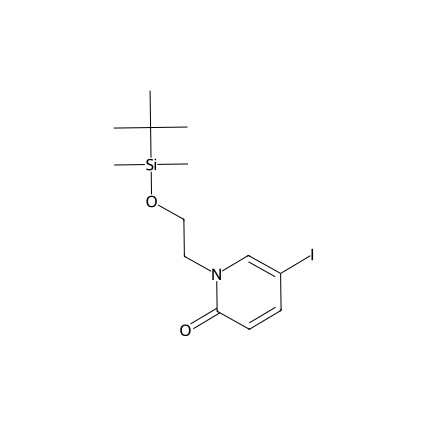 CC(C)(C)[Si](C)(C)OCCn1cc(I)ccc1=O